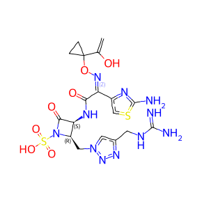 C=C(O)C1(O/N=C(\C(=O)N[C@@H]2C(=O)N(S(=O)(=O)O)[C@@H]2Cn2cc(CNC(=N)N)nn2)c2csc(N)n2)CC1